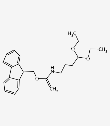 C=C(NCCCC(OCC)OCC)OCC1c2ccccc2-c2ccccc21